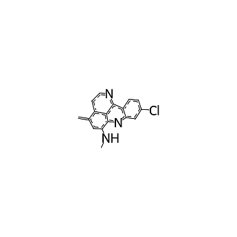 C=c1cc(NC)c2nc3cc(Cl)ccc3c3nccc1c23